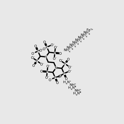 O=P([O-])([O-])C(N(CCN(C(P(=O)([O-])[O-])P(=O)([O-])[O-])C(P(=O)([O-])[O-])P(=O)([O-])[O-])C(P(=O)([O-])[O-])P(=O)([O-])[O-])P(=O)([O-])[O-].[Fe+3].[NH4+].[NH4+].[NH4+].[NH4+].[NH4+].[NH4+].[NH4+].[NH4+].[NH4+].[NH4+].[NH4+].[NH4+].[NH4+]